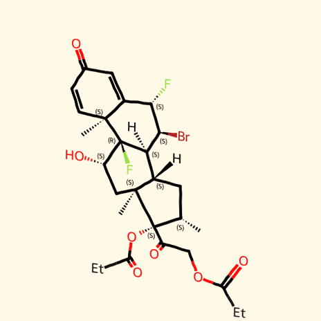 CCC(=O)OCC(=O)[C@]1(OC(=O)CC)[C@@H](C)C[C@H]2[C@@H]3[C@H](Br)[C@@H](F)C4=CC(=O)C=C[C@]4(C)[C@@]3(F)[C@@H](O)C[C@@]21C